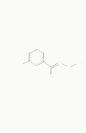 COc1cccc(/C(=N/NC=O)C(C)C)c1